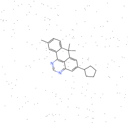 Cc1ccc2c(c1)-c1ncnc3cc(C4CCCC4)cc(c13)C2(C)C